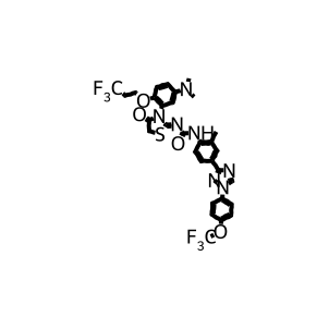 Cc1cc(-c2ncn(-c3ccc(OC(F)(F)F)cc3)n2)ccc1NC(=O)/N=C1\SCC(=O)N1c1cc(N(C)C)ccc1OCCC(F)(F)F